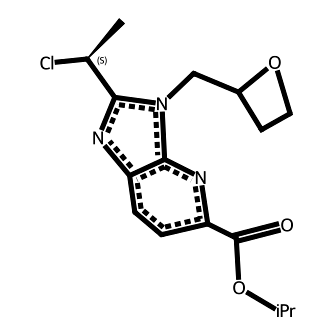 CC(C)OC(=O)c1ccc2nc([C@H](C)Cl)n(CC3CCO3)c2n1